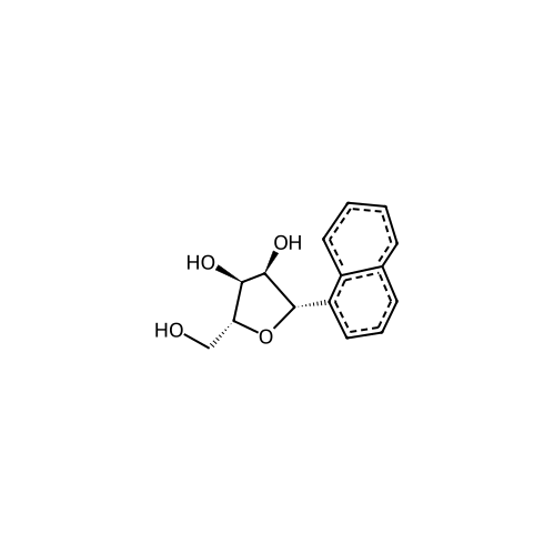 OC[C@H]1O[C@@H](c2cccc3ccccc23)[C@H](O)[C@@H]1O